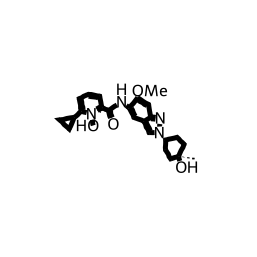 COc1cc2nn([C@H]3CC[C@](C)(O)CC3)cc2cc1NC(=O)c1cccc(C2CC2)[n+]1O